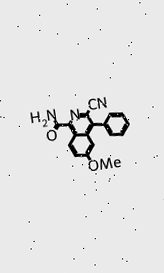 COc1ccc2c(C(N)=O)nc(C#N)c(-c3ccccc3)c2c1